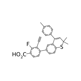 C#Cc1c(-c2ccc3c(c2)C(c2ccc(C)cc2)=CC(C)(C)S3)ccc(C(=O)O)c1F